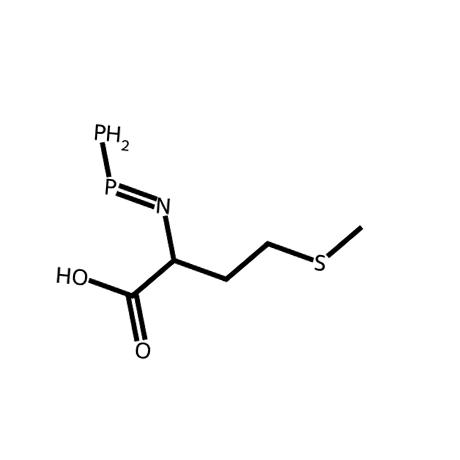 CSCCC(N=PP)C(=O)O